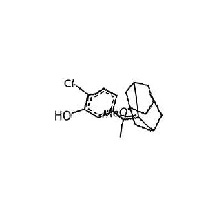 COC12CC3CC(C1)C(=C(C)c1ccc(Cl)c(O)c1)C(C3)C2